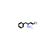 CCC=CC(N)Cc1ccccc1